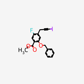 COC(=O)c1cc(F)c(CC#CI)cc1OCc1ccccc1